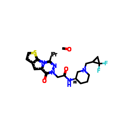 C=O.CC(C)c1nn(CC(=O)N[C@@H]2CCCN(CC3CC3(F)F)C2)c(=O)c2cc3ccsc3n12